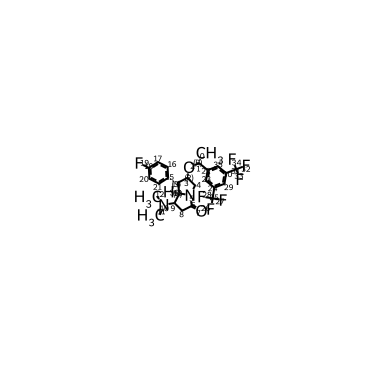 C[C@@H](O[C@H]1CN2C(=O)CC(N(C)C)[C@H]2[C@@H]1c1ccc(F)cc1)c1cc(C(F)(F)F)cc(C(F)(F)F)c1